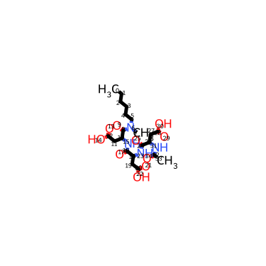 CCCCCCN(C)C(=O)C(CC(=O)O)NC(=O)C(CC(=O)O)NC(=O)C(CC(=O)O)NC(C)=O